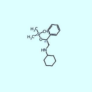 C[Si](C)(C)O[C@H](CNC1CCCCC1)c1ccccc1